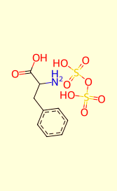 NC(Cc1ccccc1)C(=O)O.O=S(=O)(O)OS(=O)(=O)O